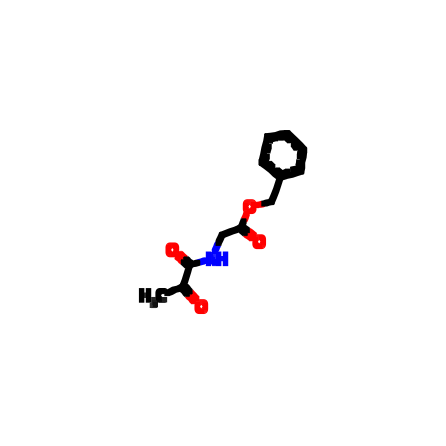 CC(=O)C(=O)NCC(=O)OCc1ccccc1